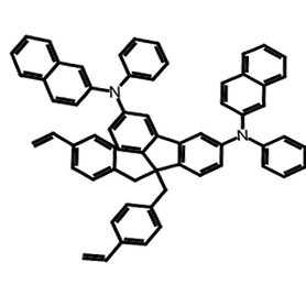 C=Cc1ccc(CC2(Cc3ccc(C=C)cc3)c3ccc(N(c4ccccc4)c4ccc5ccccc5c4)cc3-c3cc(N(c4ccccc4)c4ccc5ccccc5c4)ccc32)cc1